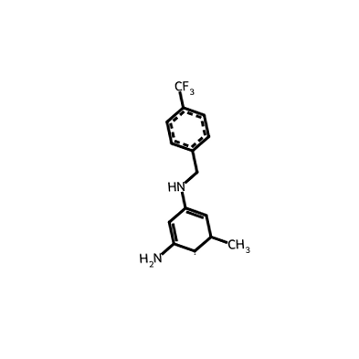 CC1[CH]C(N)=CC(NCc2ccc(C(F)(F)F)cc2)=C1